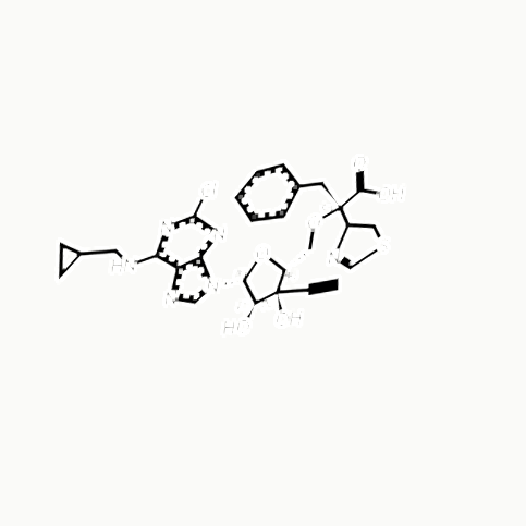 C#C[C@@]1(O)[C@@H](CO[C@](Cc2ccccc2)(C(=O)O)C2CSC=N2)O[C@@H](n2cnc3c(NCC4CC4)nc(Cl)nc32)[C@@H]1O